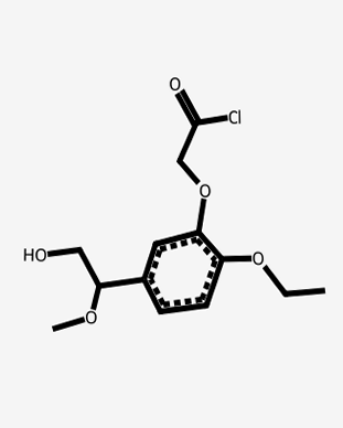 CCOc1ccc(C(CO)OC)cc1OCC(=O)Cl